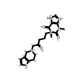 CN1C(=O)[N+](C)(CCCC(=O)CN2CCc3sccc3C2)C(=O)c2[nH]cnc21